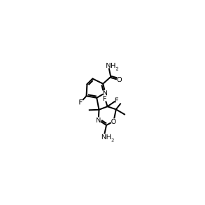 CC1(C)OC(N)=NC(C)(c2nc(C(N)=O)ccc2F)C1(F)F